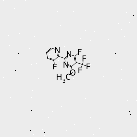 COc1nc(-c2ncccc2F)nc(F)c1C(F)(F)F